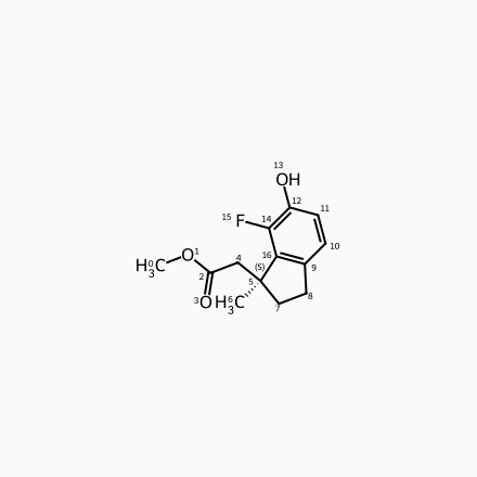 COC(=O)C[C@]1(C)CCc2ccc(O)c(F)c21